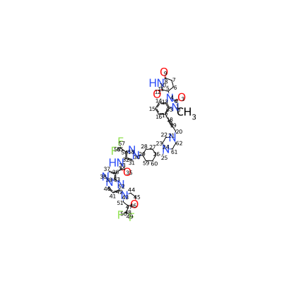 Cn1c(=O)n(C2CCC(=O)NC2=O)c2cccc(C#CCN3CCN(C[C@H]4CC[C@H](n5cc(NC(=O)c6cnn7ccc(N8CCOC(C(F)F)C8)nc67)c(C(F)F)n5)CC4)CC3)c21